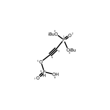 CC(C)COP(=O)(C#CO[PH](=O)O)OCC(C)C